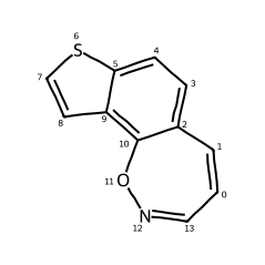 C1=Cc2ccc3sccc3c2ON=C1